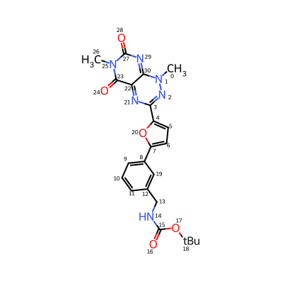 Cn1nc(-c2ccc(-c3cccc(CNC(=O)OC(C)(C)C)c3)o2)nc2c(=O)n(C)c(=O)nc1-2